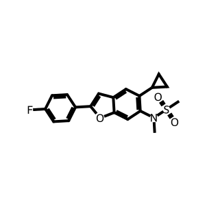 CN(c1cc2oc(-c3ccc(F)cc3)cc2cc1C1CC1)S(C)(=O)=O